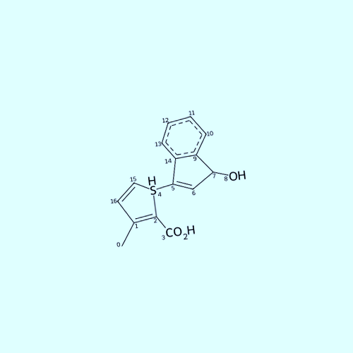 CC1=C(C(=O)O)[SH](C2=CC(O)c3ccccc32)C=C1